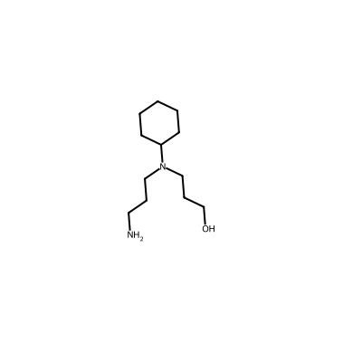 NCCCN(CCCO)C1CCCCC1